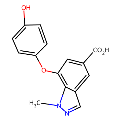 Cn1ncc2cc(C(=O)O)cc(Oc3ccc(O)cc3)c21